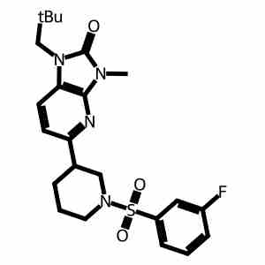 Cn1c(=O)n(CC(C)(C)C)c2ccc(C3CCCN(S(=O)(=O)c4cccc(F)c4)C3)nc21